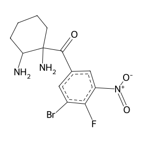 NC1CCCCC1(N)C(=O)c1cc(Br)c(F)c([N+](=O)[O-])c1